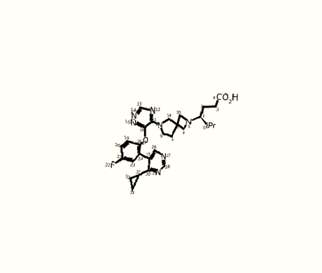 CC(C)[C@H](CCC(=O)O)N1CC2(CCN(c3ncnnc3Oc3ccc(F)cc3-c3cncnc3C3CC3)C2)C1